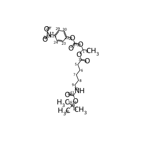 CC(OC(=O)CCCCCNC(=O)OC(C)(C)C)OC(=O)Oc1ccc([N+](=O)[O-])cc1